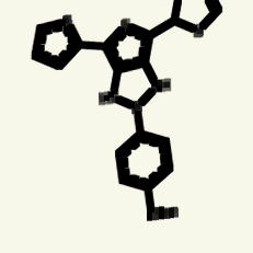 CCCCCCCCCc1ccc(B2Nc3c(-c4cccs4)sc(C4CC=CS4)c3N2)cc1